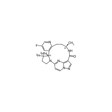 [2H]C1([2H])CCN2c3ccn4ncc(c4n3)C(=O)N[C@H](C)CCc3ncc(F)cc3[C@]21[2H]